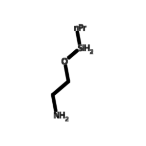 CCC[SiH2]OCCN